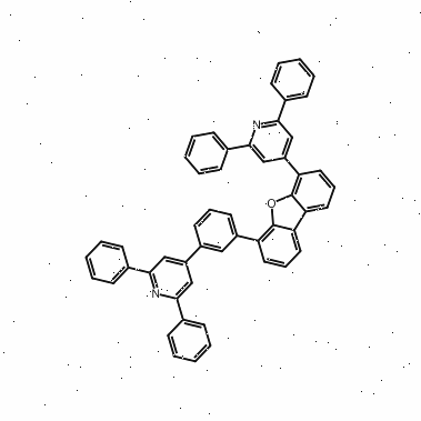 c1ccc(-c2cc(-c3cccc(-c4cccc5c4oc4c(-c6cc(-c7ccccc7)nc(-c7ccccc7)c6)cccc45)c3)cc(-c3ccccc3)n2)cc1